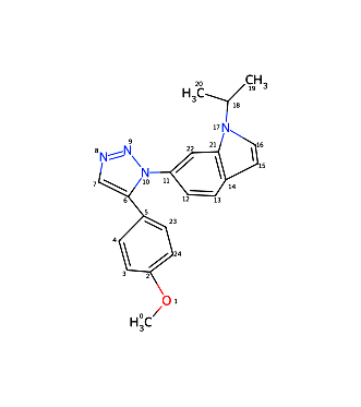 COc1ccc(-c2cnnn2-c2ccc3ccn(C(C)C)c3c2)cc1